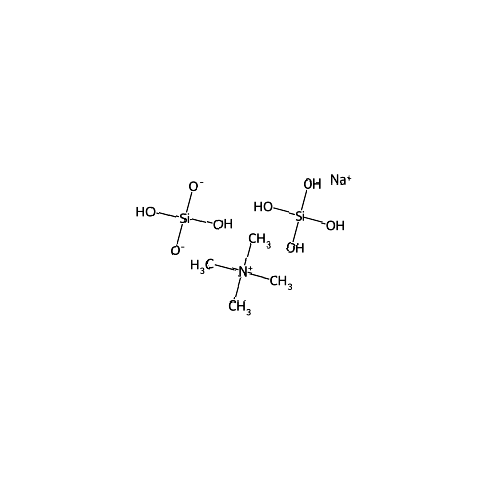 C[N+](C)(C)C.O[Si](O)(O)O.[Na+].[O-][Si]([O-])(O)O